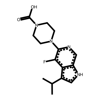 CC(C)c1c[nH]c2cnc(N3CCN(C(=O)O)CC3)c(F)c12